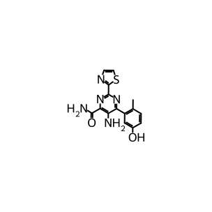 Cc1ccc(O)cc1-c1nc(-c2nccs2)nc(C(N)=O)c1N